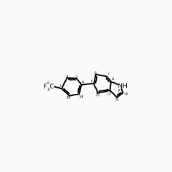 FC(F)(F)c1ccc(-c2ccc3[nH]ccc3c2)cc1